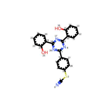 N#CSc1ccc(-c2nc(-c3ccccc3O)nc(-c3ccccc3O)n2)cc1